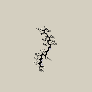 CC[C@@H](O)C(C)[C@@H](O)CC(=O)C(C)[C@@H](O)C(C)[C@@H](O)C(/C=C/C=C(\C)CC(C)[C@@H](O)C(C)/C=C(C)/C=C(\C)C(=O)OC(C)(C)C)OC